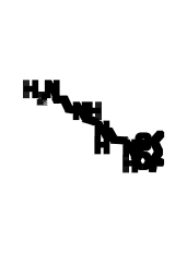 CC1CC(C)(C)OP(NCCCNCCNCCCN)O1